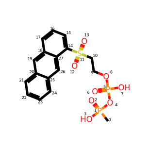 CP(=O)(O)OP(=O)(O)OCCS(=O)(=O)c1cccc2cc3ccccc3cc12